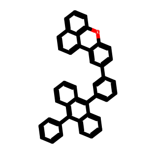 c1ccc(-c2c3ccccc3c(-c3cccc(-c4ccc5c(c4)-c4cccc6cccc(c46)O5)c3)c3ccccc23)cc1